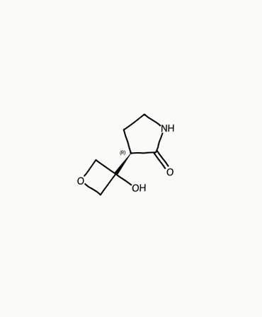 O=C1NCC[C@@H]1C1(O)COC1